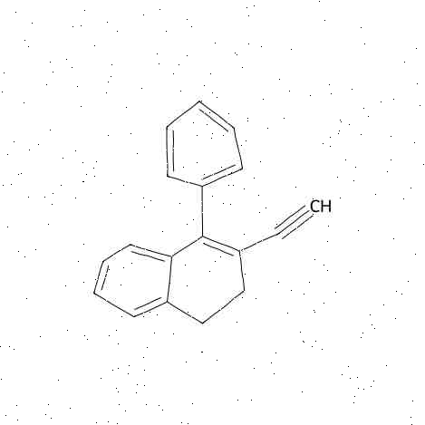 C#CC1=C(c2ccccc2)c2ccccc2CC1